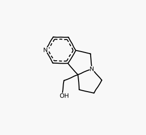 OCC12CCCN1Cc1ccncc12